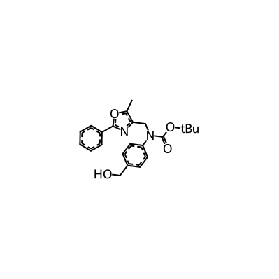 Cc1oc(-c2ccccc2)nc1CN(C(=O)OC(C)(C)C)c1ccc(CO)cc1